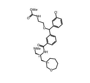 CNC[C@H](C[C@H]1CCCCOC1)NC(=O)c1cccc(C(OCCNC(=O)OC)c2cccc(Cl)c2)c1